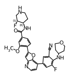 COc1cc(C(=O)N[C@@H]2CCNC[C@@H]2F)ccc1-c1cc2nccc(-c3cc(F)c(NC4CCOCC4)c(C#N)c3)c2o1